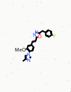 COc1cc(/C=C/c2nnc(Cc3ccc(F)cc3)o2)ccc1-n1cnc(C)c1